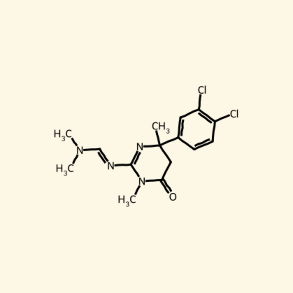 CN(C)C=NC1=NC(C)(c2ccc(Cl)c(Cl)c2)CC(=O)N1C